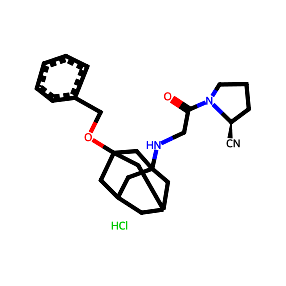 Cl.N#C[C@@H]1CCCN1C(=O)CNC12CC3CC(C1)CC(OCc1ccccc1)(C3)C2